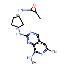 CC(C)Nc1nc(C#N)cc2cnc(N[C@H]3CC[C@H](NC4OC4C)C3)nc12